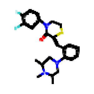 CC1CN(c2ccccc2/C=C2\SCCN(c3ccc(F)c(F)c3)C2=O)CC(C)N1C